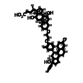 CC#C[C@]1(O)CCC2C3CCC4=CC(=O)CCC4=C3[C@H](c3ccc(OCCO[C@H]4CC[C@@]5(C)C(C4)C[C@@H](O)[C@H]4[C@@H]6CC[C@H]([C@H](C)CCC(=O)O)[C@@]6(C)[C@@H](O)C[C@@H]45)c(C)c3)C[C@@]21C